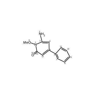 COn1c(N)cc(-c2ccccc2)cc1=O